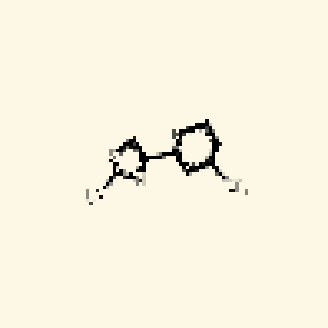 Nc1nc(-c2cc(C(F)(F)F)ccn2)cs1